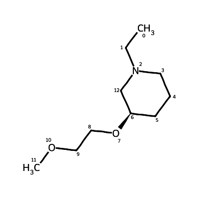 CCN1CCC[C@@H](OCCOC)C1